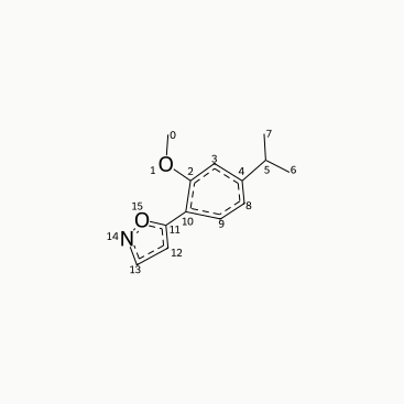 COc1cc(C(C)C)ccc1-c1ccno1